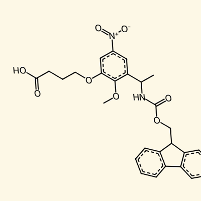 COc1c(OCCCC(=O)O)cc([N+](=O)[O-])cc1C(C)NC(=O)OCC1c2ccccc2-c2ccccc21